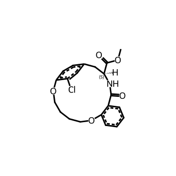 COC(=O)[C@@H]1Cc2ccc(c(Cl)c2)OCCCCOc2ccccc2C(=O)N1